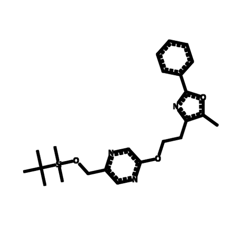 Cc1oc(-c2ccccc2)nc1CCOc1cnc(CO[Si](C)(C)C(C)(C)C)cn1